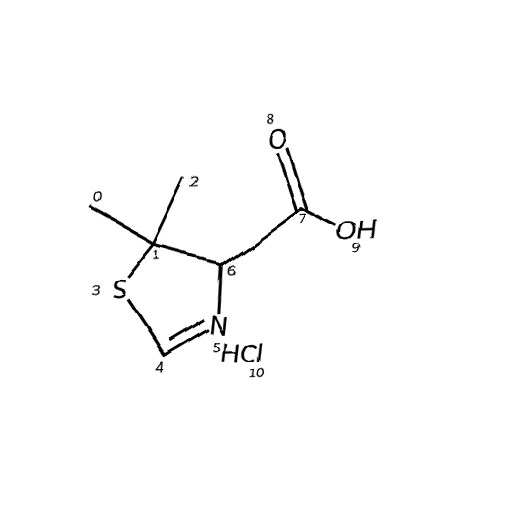 CC1(C)SC=NC1C(=O)O.Cl